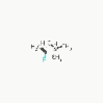 C=CF.C[SiH](C)C